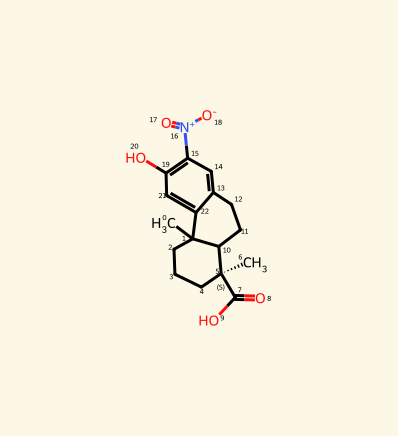 CC12CCC[C@](C)(C(=O)O)C1CCc1cc([N+](=O)[O-])c(O)cc12